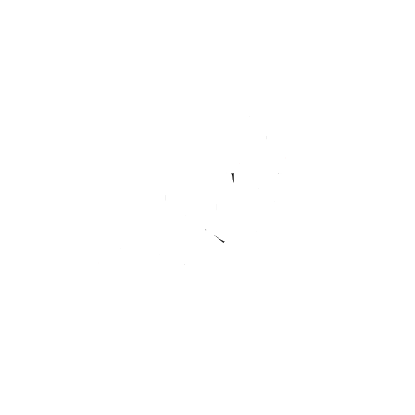 C=C1C[C@@H]2[C@H](CC[C@@]3(C)[C@H]2CC[C@]3(OC(C)=O)C(C)=O)[C@@H]2CCC(=O)C=C12